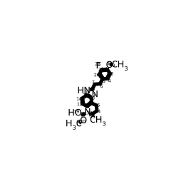 COc1ccc(CCc2nc3c4c(ccc3[nH]2)N(C(O)OC)[C@@H](C)CC4)cc1F